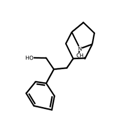 CN1C2CCC1C[C](CC(CO)c1ccccc1)C2